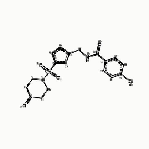 O=C1CCN(S(=O)(=O)c2ccc(CNC(=O)c3ccc(Cl)cc3)s2)CC1